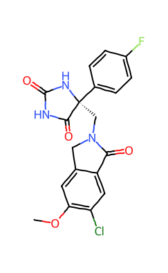 COc1cc2c(cc1Cl)C(=O)N(C[C@@]1(c3ccc(F)cc3)NC(=O)NC1=O)C2